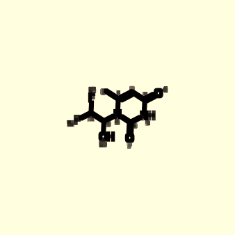 Cc1cc(=O)[nH]c(=O)n1C(O)C(F)F